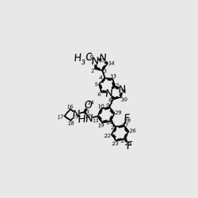 Cn1cc(-c2ccn3c(-c4cc(NC(=O)N5CCC5)cc(-c5ccc(F)cc5F)c4)cnc3c2)cn1